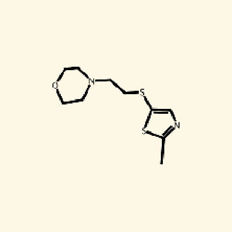 Cc1ncc(SCCN2CCOCC2)s1